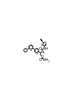 C#Cc1nc(NC(=O)N(C)C(COC(N)=O)c2ccc(-c3cccc(N4CCCC4)n3)cn2)cs1